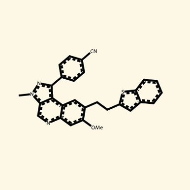 COc1cc2ncc3c(c(-c4ccc(C#N)cc4)nn3C)c2cc1CCc1cc2ccccc2s1